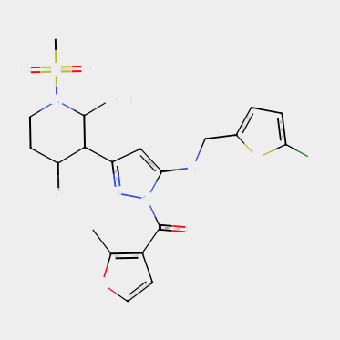 Cc1occc1C(=O)n1nc(C2C(C(=O)O)N(S(C)(=O)=O)CCC2C(F)(F)F)cc1NCc1ccc(Cl)s1